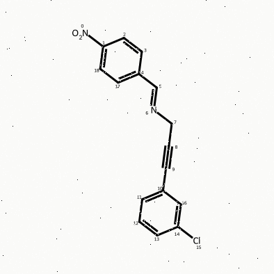 O=[N+]([O-])c1ccc(C=NCC#Cc2cccc(Cl)c2)cc1